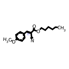 CCCCCCOC(=O)/C(C#N)=C/c1ccc(OC)cc1